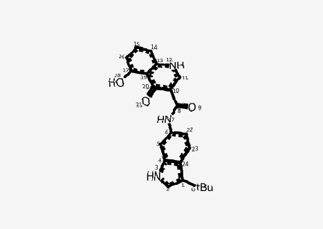 CC(C)(C)c1c[nH]c2cc(NC(=O)c3c[nH]c4cccc(O)c4c3=O)ccc12